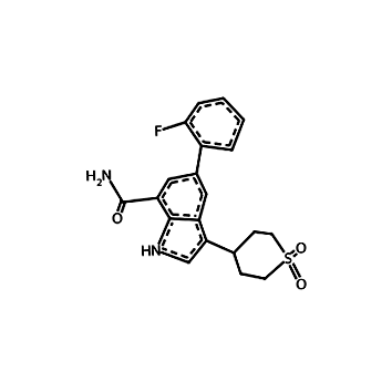 NC(=O)c1cc(-c2ccccc2F)cc2c(C3CCS(=O)(=O)CC3)c[nH]c12